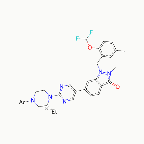 CC[C@@H]1CN(C(C)=O)CCN1c1ncc(-c2ccc3c(=O)n(C)n(Cc4cc(C)ccc4OC(F)F)c3c2)cn1